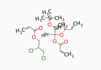 C=CC(=O)OC(CCC)(OC(=O)C=C)[SiH](C)O[Si](C)(C)C.C=CC(=O)OCC(Cl)CCl